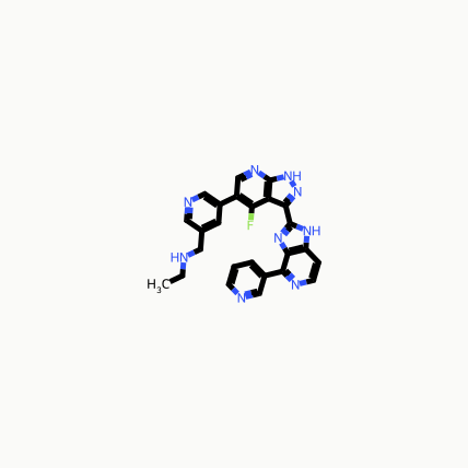 CCNCc1cncc(-c2cnc3[nH]nc(-c4nc5c(-c6cccnc6)nccc5[nH]4)c3c2F)c1